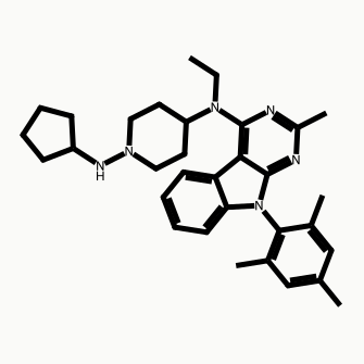 CCN(c1nc(C)nc2c1c1ccccc1n2-c1c(C)cc(C)cc1C)C1CCN(NC2CCCC2)CC1